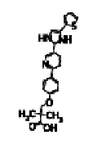 CC(C)(COc1ccc(-c2ccc(C3NC=C(c4cccs4)N3)cn2)cc1)C(=O)O